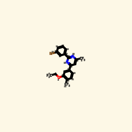 FC(F)(F)COc1cc(-c2cc(C(F)(F)F)nc(-c3cccc(Br)c3)n2)ccc1C(F)(F)F